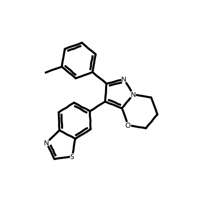 Cc1cccc(-c2nn3c(c2-c2ccc4ncsc4c2)OCCC3)c1